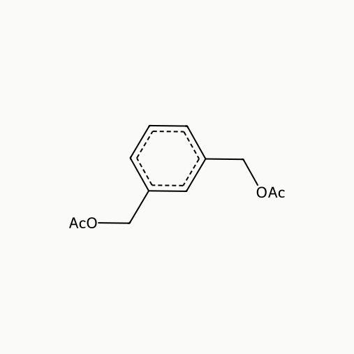 CC(=O)OCc1cccc(COC(C)=O)c1